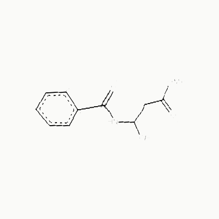 COC(=O)CC(C)NC(=O)c1ccccc1